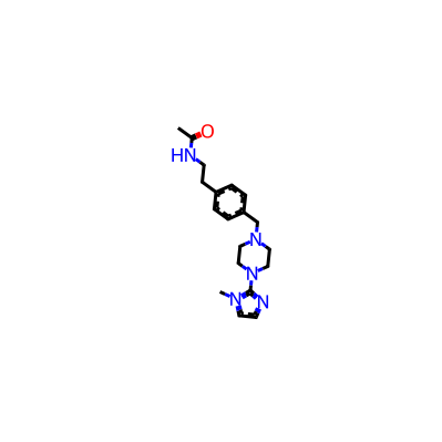 CC(=O)NCCc1ccc(CN2CCN(c3nccn3C)CC2)cc1